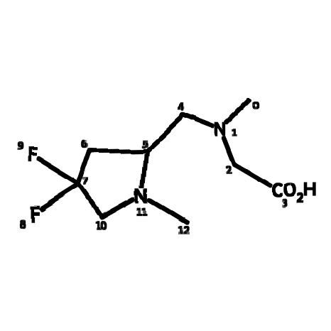 CN(CC(=O)O)CC1CC(F)(F)CN1C